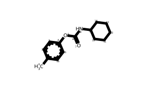 Cc1ccc(OC(=O)NC2CCCCC2)cc1